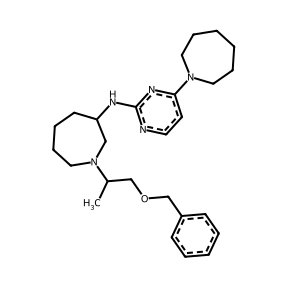 CC(COCc1ccccc1)N1CCCCC(Nc2nccc(N3CCCCCC3)n2)C1